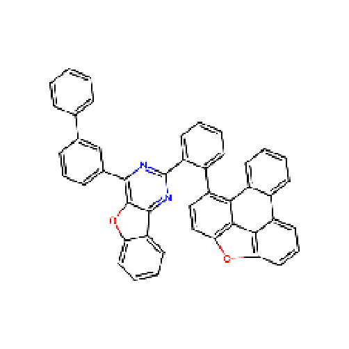 c1ccc(-c2cccc(-c3nc(-c4ccccc4-c4ccc5oc6cccc7c8ccccc8c4c5c67)nc4c3oc3ccccc34)c2)cc1